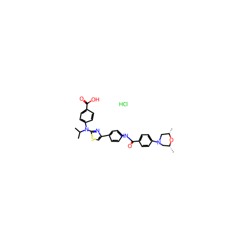 CC(C)N(c1ccc(C(=O)O)cc1)c1nc(-c2ccc(NC(=O)c3ccc(N4C[C@@H](C)O[C@@H](C)C4)cc3)cc2)cs1.Cl